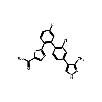 Cc1n[nH]cc1-c1ccc(-c2cc(Cl)ccc2-c2ccc(C(=O)C(C)(C)C)o2)c(Cl)c1